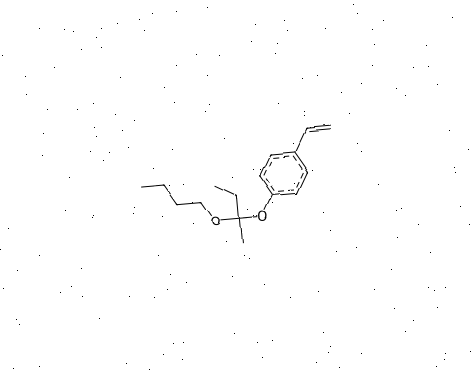 C=Cc1ccc(OC(C)(CC)OCCCC)cc1